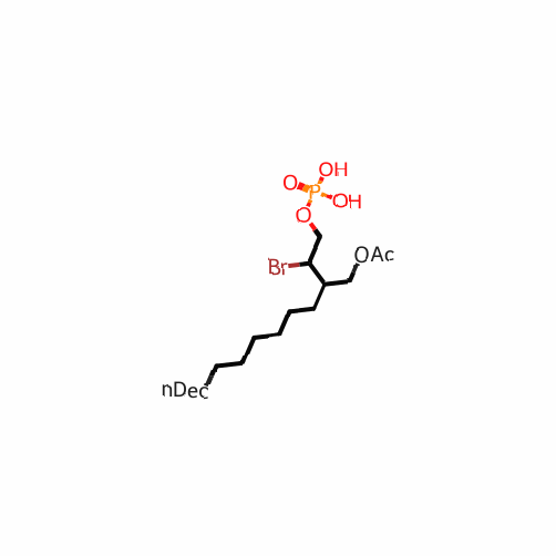 CCCCCCCCCCCCCCCCC(COC(C)=O)C(Br)COP(=O)(O)O